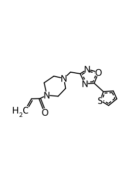 C=CC(=O)N1CCN(Cc2noc(-c3cccs3)n2)CC1